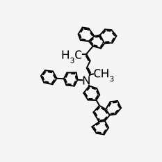 C/C(=C\C=C(/C)N(c1ccc(-c2ccccc2)cc1)c1ccc(-c2cc3ccccc3c3ccccc23)cc1)c1cc2ccccc2c2ccccc12